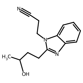 CC(O)CCc1nc2ccccc2n1CCC#N